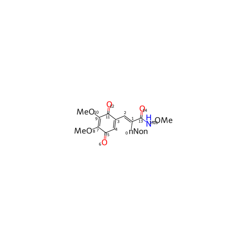 CCCCCCCCC/C(=C\C1=CC(=O)C(OC)=C(OC)C1=O)C(=O)NOC